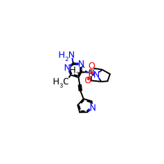 Cc1nc(N)nc(N2CC3CCC(C2)N3S(C)(=O)=O)c1C#Cc1cccnc1